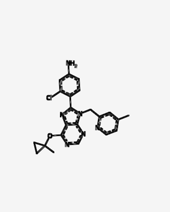 Cc1ccnc(Cn2c(-c3ccc(N)cc3Cl)nc3c(OC4(C)CC4)ncnc32)c1